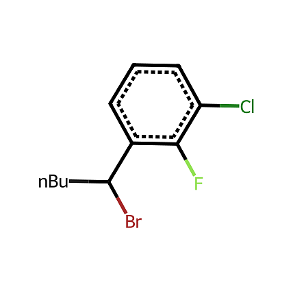 CCCCC(Br)c1cccc(Cl)c1F